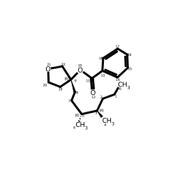 CCC[C@@H](C)[C@H](C)CC[C@@]1(OC(=O)c2ccccc2)CCOC1